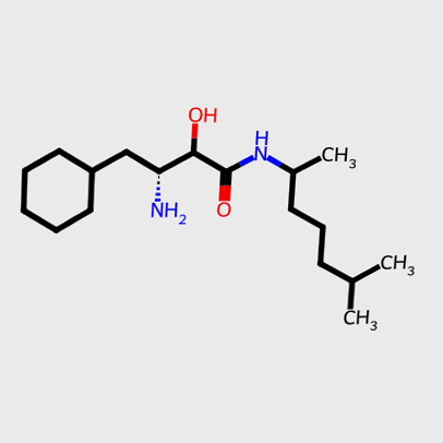 CC(C)CCCC(C)NC(=O)C(O)[C@H](N)CC1CCCCC1